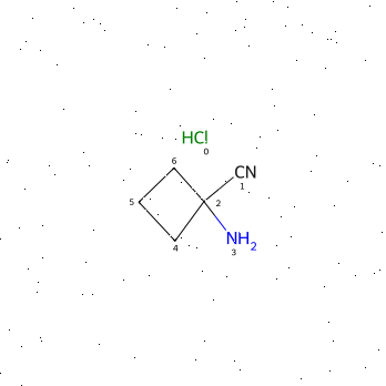 Cl.N#CC1(N)CCC1